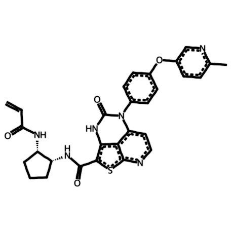 C=CC(=O)N[C@H]1CCC[C@H]1NC(=O)c1sc2nccc3c2c1NC(=O)N3c1ccc(Oc2ccc(C)nc2)cc1